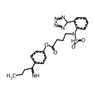 CCCC(=N)c1ccc(OC(=O)CCCN(c2ccccc2C2N=NN=N2)[SH](=O)=O)cc1